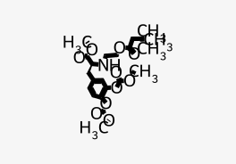 COC(=O)Oc1ccc(C[C@H](NCCOC(=O)CC(C)(C)C)C(=O)OC)cc1OC(=O)OC